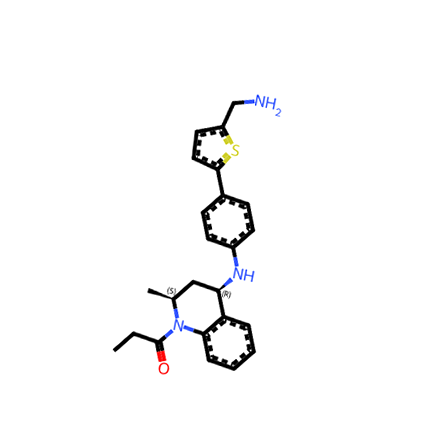 CCC(=O)N1c2ccccc2[C@H](Nc2ccc(-c3ccc(CN)s3)cc2)C[C@@H]1C